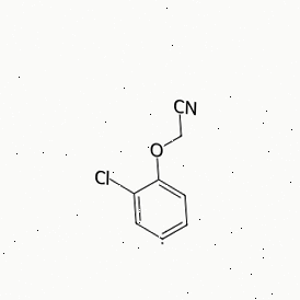 N#CCOc1cc[c]cc1Cl